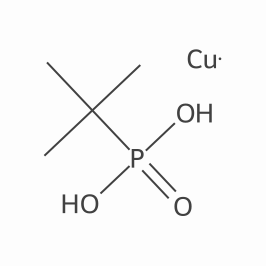 CC(C)(C)P(=O)(O)O.[Cu]